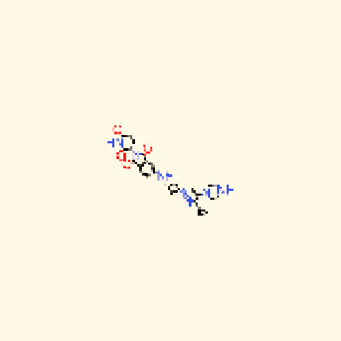 O=C1CCC(N2C(=O)c3ccc(NC[C@H]4C[C@H](n5cc(N6CCNCC6)c(C6CC6)n5)C4)cc3C2=O)C(=O)N1